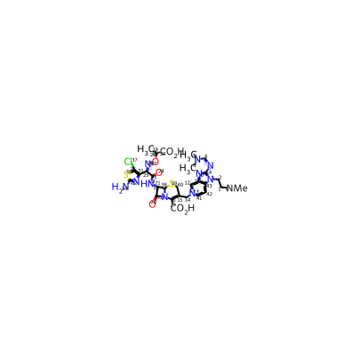 CNCCn1c(/N=C\N(C)C)nc2c[n+](CC3=C(C(=O)O)N4C(=O)[C@@H](NC(=O)/C(=N\O[C@@H](C)C(=O)O)c5nc(N)sc5Cl)C4SC3)ccc21